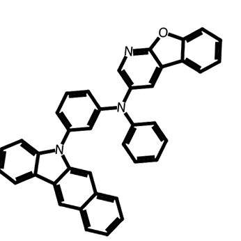 c1ccc(N(c2cccc(-n3c4ccccc4c4cc5ccccc5cc43)c2)c2cnc3oc4ccccc4c3c2)cc1